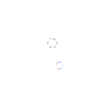 CC(C)(C)c1nnc(COc2ccc(Cl)cc2)o1